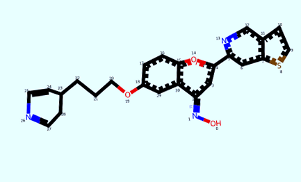 O/N=c1\cc(-c2cc3sccc3cn2)oc2ccc(OCCCC3C=CN=CC3)cc12